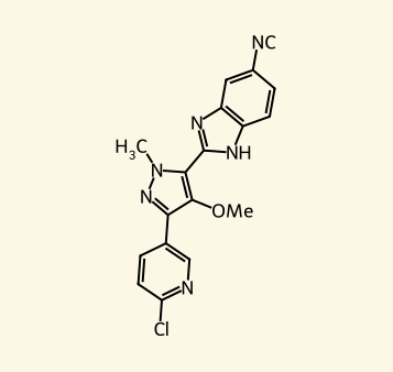 [C-]#[N+]c1ccc2[nH]c(-c3c(OC)c(-c4ccc(Cl)nc4)nn3C)nc2c1